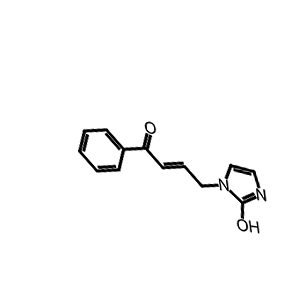 O=C(C=CCn1ccnc1O)c1ccccc1